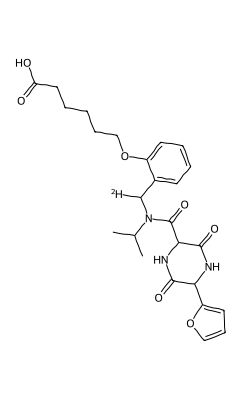 [2H]C(c1ccccc1OCCCCCC(=O)O)N(C(=O)C1NC(=O)C(c2ccco2)NC1=O)C(C)C